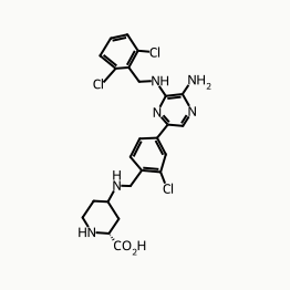 Nc1ncc(-c2ccc(CNC3CCN[C@@H](C(=O)O)C3)c(Cl)c2)nc1NCc1c(Cl)cccc1Cl